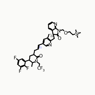 CC1C(c2cc(F)cc(F)c2F)CC(C/C=C/c2cnc3c(c2)C[C@@]2(C3)C(=O)N(COCC[Si](C)(C)C)c3ncccc32)C(=O)N1CC(F)(F)F